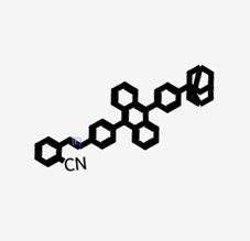 N#Cc1ccccc1/C=C/c1ccc(-c2c3ccccc3c(-c3ccc(C45CC6CC(CC(C6)C4)C5)cc3)c3ccccc23)cc1